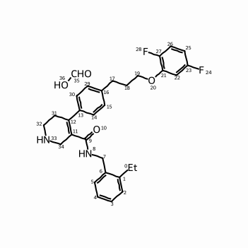 CCc1ccccc1CNC(=O)C1=C(c2ccc(CCCOc3cc(F)ccc3F)cc2)CCNC1.O=CO